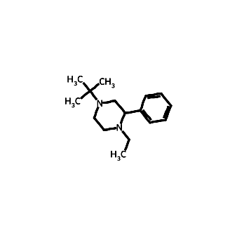 CCN1CCN(C(C)(C)C)CC1c1ccccc1